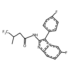 CC(CC(=O)Nc1nc2ccc(F)cn2c1-c1ccc(F)cc1)C(F)(F)F